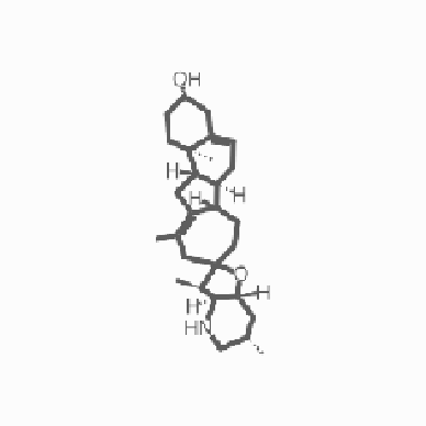 CC1=C2C[C@H]3[C@@H](CC=C4C[C@@H](O)CC[C@@]43C)[C@@H]2CCC2(C1)O[C@@H]1C[C@H](C)CN[C@H]1[C@H]2C